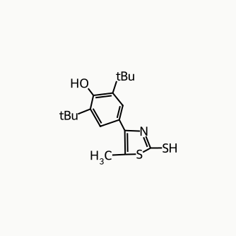 Cc1sc(S)nc1-c1cc(C(C)(C)C)c(O)c(C(C)(C)C)c1